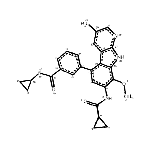 COc1c(NC(=O)C2CC2)cc(-c2cccc(C(=O)NC3CC3)c2)c2c1[nH]c1ncc(C)cc12